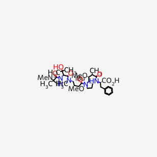 CC[C@H](C)[C@@H]([C@@H](CC(=O)N1CCC[C@H]1[C@H](OC)[C@@H](C)C(=O)N[C@@H](Cc1ccccc1)C(=O)O)OC)N(C)C(=O)[C@@H](NC(=O)C(C)(NC)C(C)C)C(C)(C)O